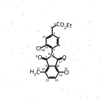 CCOC(=O)Cc1ccc(N2C(=O)c3c(C)ccc(Cl)c3C2=O)c(Cl)c1